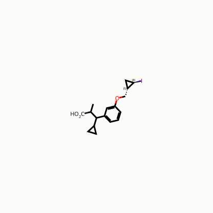 CC(C(=O)O)C(c1cccc(OC[C@@H]2C[C@H]2I)c1)C1CC1